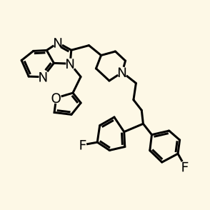 Fc1ccc(C(CCCN2CCC(Cc3nc4cccnc4n3Cc3ccco3)CC2)c2ccc(F)cc2)cc1